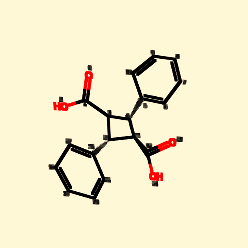 O=C(O)C1[C@H](c2ccccc2)[C@@H](C(=O)O)[C@@H]1c1ccccc1